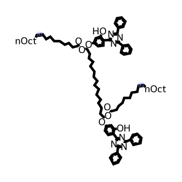 CCCCCCCC/C=C\CCCCCCCC(=O)OC(CCCCCCCCCCCCCCC(OC(=O)CCCCCCC/C=C\CCCCCCCC)Oc1ccc(-c2nc(-c3ccccc3)nc(-c3ccccc3)n2)c(O)c1)Oc1ccc(-c2nc(-c3ccccc3)nc(-c3ccccc3)n2)c(O)c1